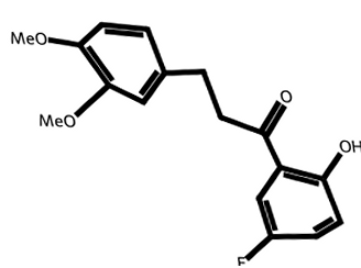 COc1ccc(CCC(=O)c2cc(F)ccc2O)cc1OC